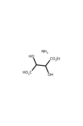 CCOC(=O)C(O)C(O)C(=O)O.N